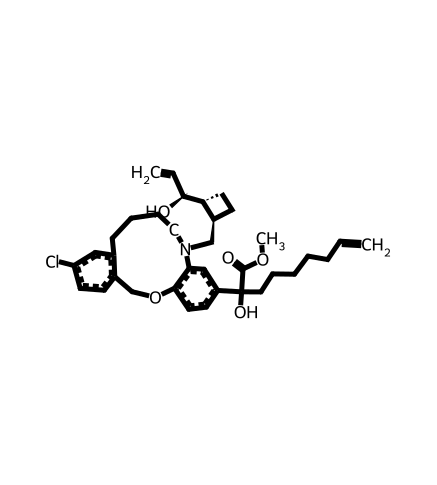 C=CCCCCCC(O)(C(=O)OC)c1ccc2c(c1)N(C[C@@H]1CC[C@H]1[C@@H](O)C=C)CCCCc1cc(Cl)ccc1CO2